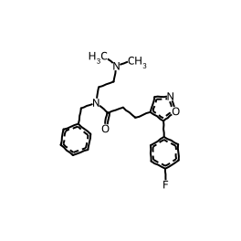 CN(C)CCN(Cc1ccccc1)C(=O)CCc1cnoc1-c1ccc(F)cc1